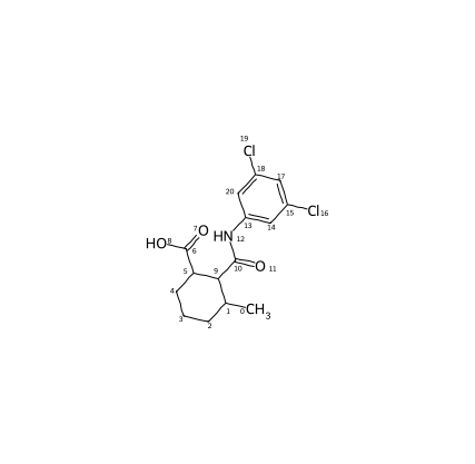 CC1CCCC(C(=O)O)C1C(=O)Nc1cc(Cl)cc(Cl)c1